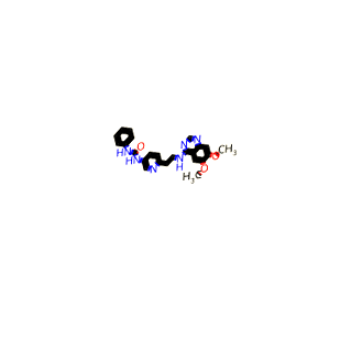 COc1cc2ncnc(NCCc3ccc(NC(=O)Nc4ccccc4)cn3)c2cc1OC